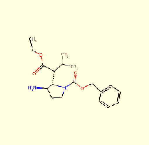 CCOC(=O)C(C(C)C)[C@H]1[C@H](N)CCN1C(=O)OCc1ccccc1